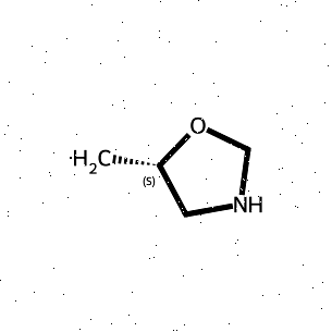 [CH2][C@H]1CNCO1